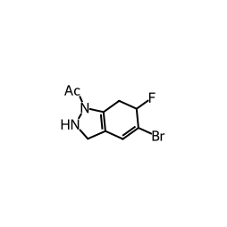 CC(=O)N1NCC2=C1CC(F)C(Br)=C2